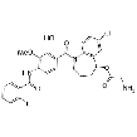 COc1cc(C(=O)N2CCCC(OC(=O)CN)c3cc(Cl)ccc32)ccc1NC(=O)c1ccccc1Cl.Cl